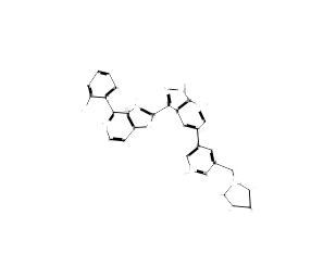 Fc1ccccc1-c1nccc2[nH]c(-c3n[nH]c4ncc(-c5cncc(CN6CCCC6)c5)cc34)nc12